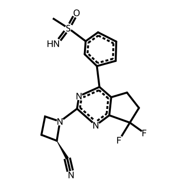 CS(=N)(=O)c1cccc(-c2nc(N3CC[C@@H]3C#N)nc3c2CCC3(F)F)c1